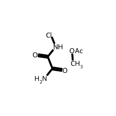 COC(C)=O.NC(=O)C(=O)NCl